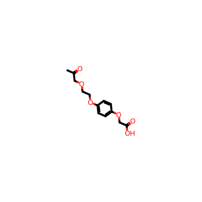 CC(=O)COCCOc1ccc(OCC(=O)O)cc1